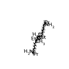 CCC(C)(CCCCCCCCC(N)C(C)C)c1ccc(C(C)(CC)CCCCCCCCC(N)C(C)C)cc1